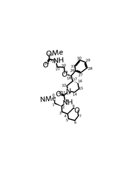 CNC[C@H](CC1CCCOC1)NC(=O)N1CCC[C@@H]([C@@H](OCCNC(=O)OC)c2ccccc2)C1